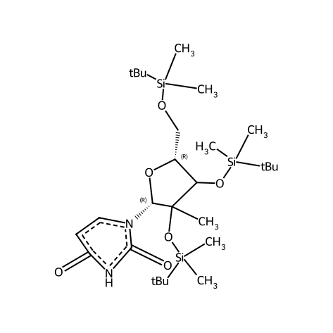 CC1(O[Si](C)(C)C(C)(C)C)C(O[Si](C)(C)C(C)(C)C)[C@@H](CO[Si](C)(C)C(C)(C)C)O[C@H]1n1ccc(=O)[nH]c1=O